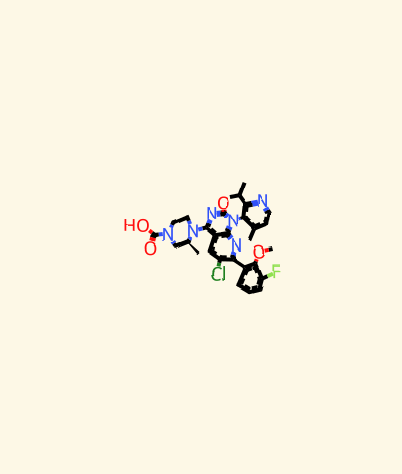 COc1c(F)cccc1-c1nc2c(cc1Cl)c(N1CCN(C(=O)O)C[C@@H]1C)nc(=O)n2-c1c(C)ccnc1C(C)C